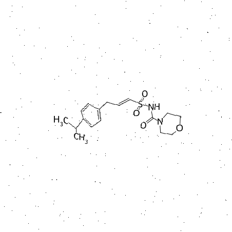 CC(C)c1ccc(CC=CS(=O)(=O)NC(=O)N2CCOCC2)cc1